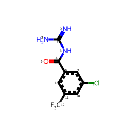 N=C(N)NC(=O)c1cc(Cl)cc(C(F)(F)F)c1